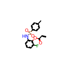 C=CC(=O)Oc1c(F)cccc1NS(=O)(=O)c1ccc(C)cc1